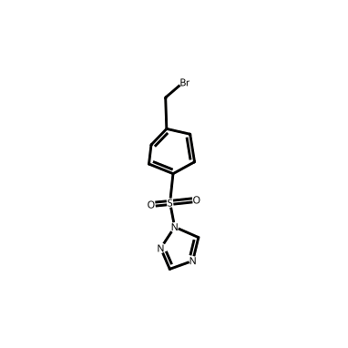 O=S(=O)(c1ccc(CBr)cc1)n1cncn1